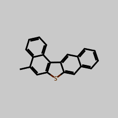 Cc1cc2sc3cc4ccccc4cc3c2c2ccccc12